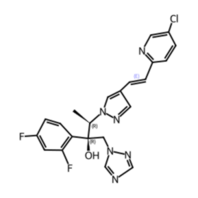 C[C@@H](n1cc(/C=C/c2ccc(Cl)cn2)cn1)[C@](O)(Cn1cncn1)c1ccc(F)cc1F